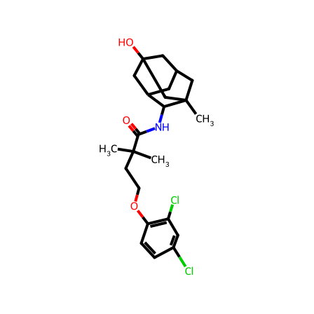 CC(C)(CCOc1ccc(Cl)cc1Cl)C(=O)NC1C2CC3CC(O)(C2)CC1(C)C3